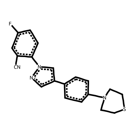 N#Cc1cc(F)ccc1-n1cc(-c2ccc(N3CCSCC3)cc2)cn1